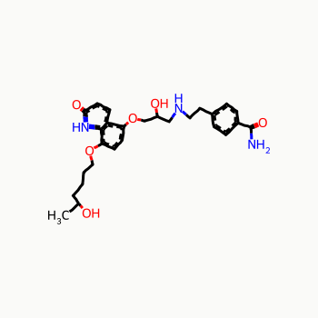 CC(O)CCCCOc1ccc(OCC(O)CNCCc2ccc(C(N)=O)cc2)c2ccc(=O)[nH]c12